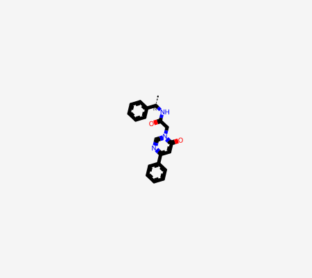 C[C@H](NC(=O)Cn1cnc(-c2ccccc2)cc1=O)c1ccccc1